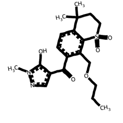 CCCOCc1c(C(=O)c2cnn(C)c2O)ccc2c1S(=O)(=O)CCC2(C)C